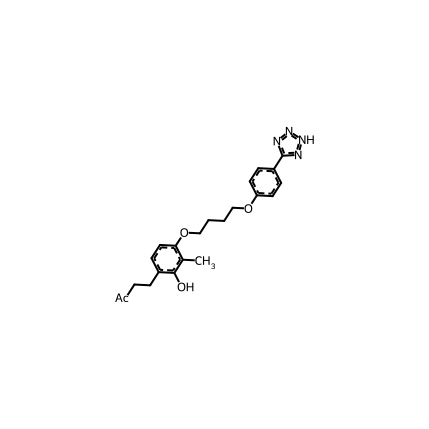 CC(=O)CCc1ccc(OCCCCOc2ccc(-c3nn[nH]n3)cc2)c(C)c1O